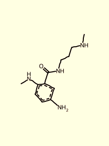 CNCCCNC(=O)c1cc(N)ccc1NC